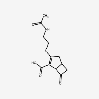 CC(=O)NCCSC1=C(C(=O)O)N2C(=O)CC2C1